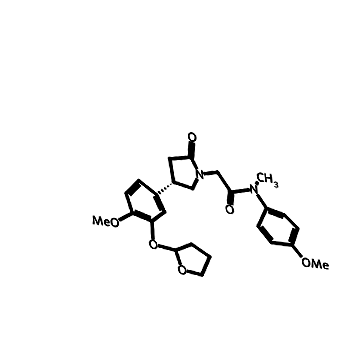 COc1ccc(N(C)C(=O)CN2C[C@H](c3ccc(OC)c(OC4CCCO4)c3)CC2=O)cc1